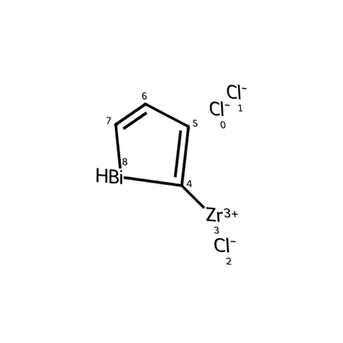 [Cl-].[Cl-].[Cl-].[Zr+3][C]1=CC=[CH][BiH]1